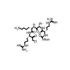 CCCCCCCCCC(=O)N[C@@H](CCCNC(=N)N)C(=O)N[C@H](C(=O)N[C@@H](CCCCN)C(=O)N[C@@H](CCCNC(=N)N)C(=O)[CH]Cl)C(C)C